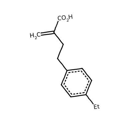 C=C(CCc1ccc(CC)cc1)C(=O)O